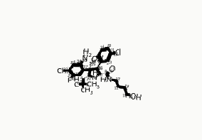 CC(C)(C)C[C@H]1N[C@@H](C(=O)NCCCCO)[C@H](c2cccc(Cl)c2)[C@]1(CO)c1cc(F)c(Cl)cc1N